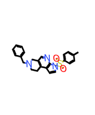 Cc1ccc(S(=O)(=O)n2ccc3c4c(cnc32)CN(Cc2ccccc2)CC4)cc1